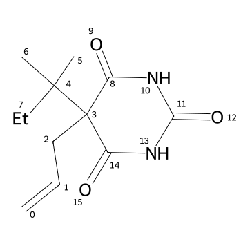 C=CCC1(C(C)(C)CC)C(=O)NC(=O)NC1=O